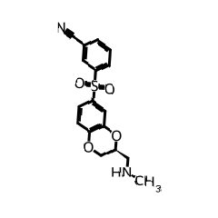 CNC[C@H]1COc2ccc(S(=O)(=O)c3cccc(C#N)c3)cc2O1